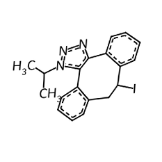 CC(C)n1nnc2c1-c1ccccc1CC(I)c1ccccc1-2